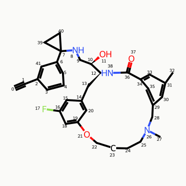 C#Cc1cccc(C2(NC[C@@H](O)[C@@H]3Cc4cc(F)cc(c4)OCCCCN(C)Cc4cc(C)cc(c4)C(=O)N3)CC2)c1